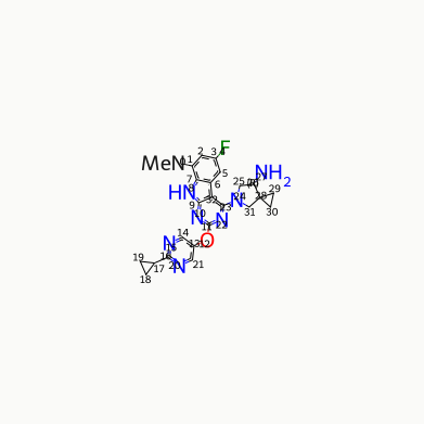 CNc1cc(F)cc2c1[nH]c1nc(Oc3cnc(C4CC4)nc3)nc(N3C[C@H](N)C4(CC4)C3)c12